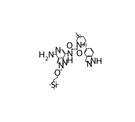 C[C@H]1CC[C@H](c2ccc3[nH]ncc3c2)N(C(=O)C(=O)Nc2cnc(N)c3cn(COCC[Si](C)(C)C)nc23)C1